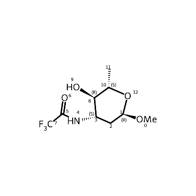 CO[C@H]1C[C@H](NC(=O)C(F)(F)F)[C@@H](O)[C@H](C)O1